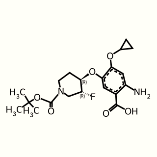 CC(C)(C)OC(=O)N1CC[C@@H](Oc2cc(C(=O)O)c(N)cc2OC2CC2)[C@H](F)C1